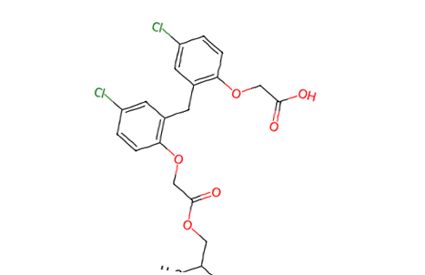 CC(C)COC(=O)COc1ccc(Cl)cc1Cc1cc(Cl)ccc1OCC(=O)O